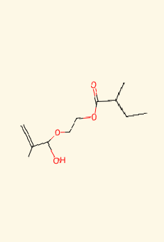 C=C(C)C(O)OCCOC(=O)C(C)CC